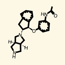 CC(=O)Nc1cccc(O[C@@H]2c3ccccc3C[C@H]2N2C[C@H]3CNC[C@H]3C2)c1